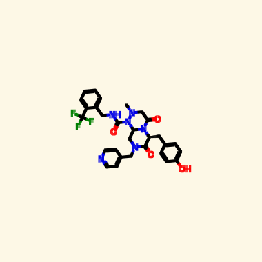 CN1CC(=O)N2C(CN(Cc3ccncc3)C(=O)[C@@H]2Cc2ccc(O)cc2)N1C(=O)NCc1ccccc1C(F)(F)F